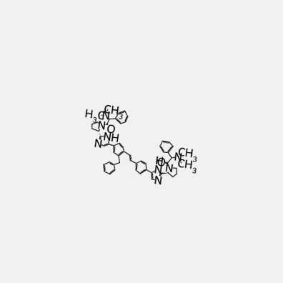 CN(C)[C@@H](C(=O)N1CCC[C@H]1c1ncc(-c2ccc(/C=C/c3ccc(-c4cnc([C@@H]5CCCN5C(=O)[C@@H](c5ccccc5)N(C)C)[nH]4)cc3Cc3ccccc3)cc2)[nH]1)c1ccccc1